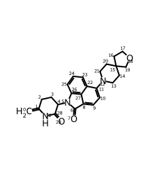 C=C1CCC(N2C(=O)c3ccc(N4CCC5(CCOC5)CC4)c4cccc2c34)C(=O)N1